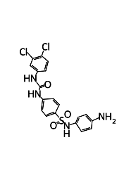 Nc1ccc(NS(=O)(=O)c2ccc(NC(=O)Nc3ccc(Cl)c(Cl)c3)cc2)cc1